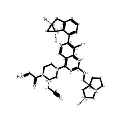 C=CC(=O)N1CCN(c2nc(OC[C@@]34CCCN3C[C@H](F)C4)nc3c(F)c(-c4cccc5c4[C@H]4C[C@H]4C5)ncc23)C[C@@H]1CC#N